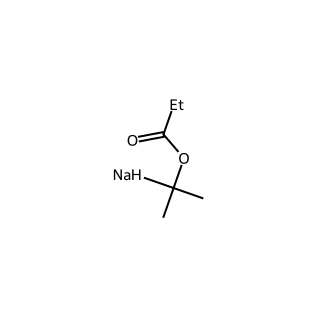 CCC(=O)OC(C)(C)C.[NaH]